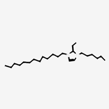 CCCCCCCCCCCCCN1C=CN(CCCCCC)C1CC